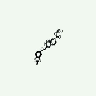 Cc1nc2cc(OCC(CN3CCN(C(=O)OC(C)(C)C)CC3)=NO)ccc2s1